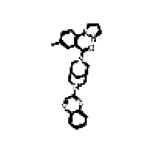 Cc1ccc(-n2cccn2)c(C(=O)N2CC3CC(C2)CN(c2cnc4ccccc4n2)C3)c1